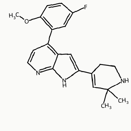 COc1ccc(F)cc1-c1ccnc2[nH]c(C3=CC(C)(C)NCC3)cc12